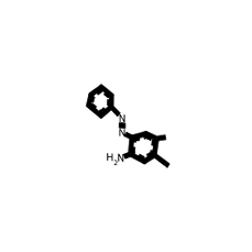 Cc1cc(N)c(N=Nc2ccccc2)cc1C